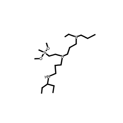 CCCN(CC)CCCN(CCCNC(CC)CC)CC[Si](C)(OC)OC